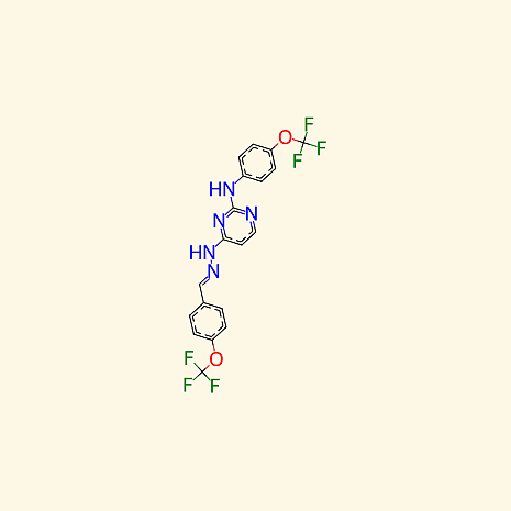 FC(F)(F)Oc1ccc(/C=N/Nc2ccnc(Nc3ccc(OC(F)(F)F)cc3)n2)cc1